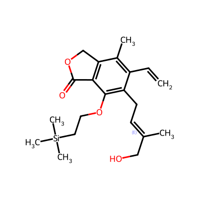 C=Cc1c(C)c2c(c(OCC[Si](C)(C)C)c1C/C=C(\C)CO)C(=O)OC2